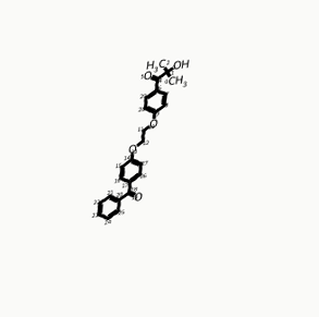 CC(C)(O)C(=O)c1ccc(OCCOc2ccc(C(=O)c3ccccc3)cc2)cc1